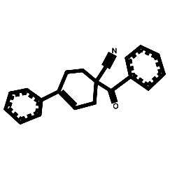 N#CC1(C(=O)c2ccccc2)CC=C(c2ccccc2)CC1